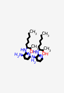 CCCCCCC(Nc1ncccc1N)C(C)O.CCCCCCC(Nc1ncccc1N)C(C)O